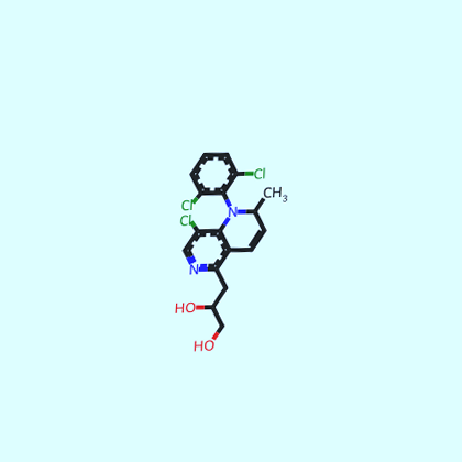 CC1C=Cc2c(CC(O)CO)ncc(Cl)c2N1c1c(Cl)cccc1Cl